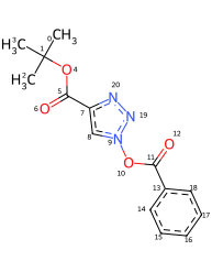 CC(C)(C)OC(=O)c1cn(OC(=O)c2ccccc2)nn1